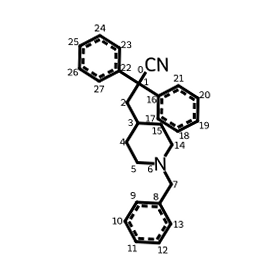 N#CC(CC1CCN(Cc2ccccc2)CC1)(c1ccccc1)c1ccccc1